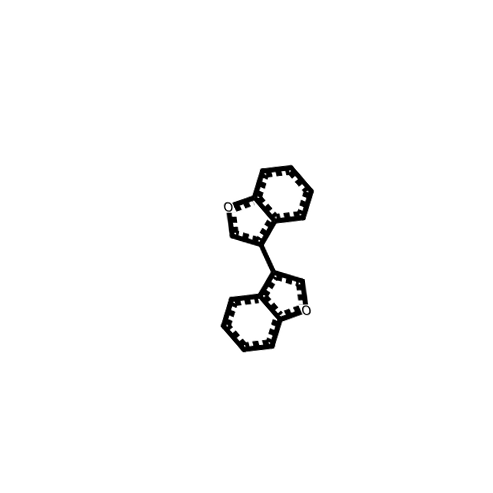 c1ccc2c(-c3coc4ccccc34)coc2c1